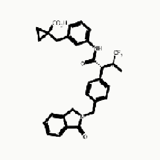 C[C@@H]([C@@H](C(=O)Nc1cccc(CC2(C(=O)O)CC2)c1)c1ccc(CN2Cc3ccccc3C2=O)cc1)C(F)(F)F